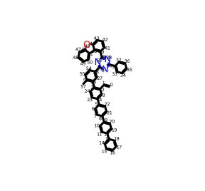 C=Cc1cc(-c2ccc(-c3ccc(-c4ccccc4)cc3)cc2)ccc1-c1cc(-c2nc(-c3ccccc3)nc(-c3cccc4oc5ccccc5c34)n2)ccc1C